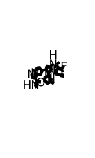 C#C/C=C\C(=C(/C)F)C(C)Nc1cc(-c2ccn3ncc(C(=O)NC)c3c2)n(-c2cccc(C)n2)n1